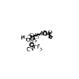 CC1(C)C(=O)N(c2ccc(C#N)c(C(F)(F)F)c2)C(=S)N1CCCCCN1CCN(C(=O)C2CCC2)CC1